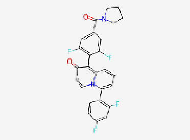 O=C(c1cc(F)c(-c2c(=O)ccn3c(-c4ccc(F)cc4F)cccc23)c(F)c1)N1CCCC1